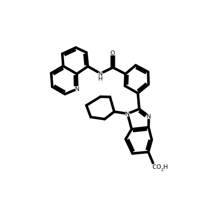 O=C(O)c1ccc2c(c1)nc(-c1cccc(C(=O)Nc3cccc4cccnc34)c1)n2C1CCCCC1